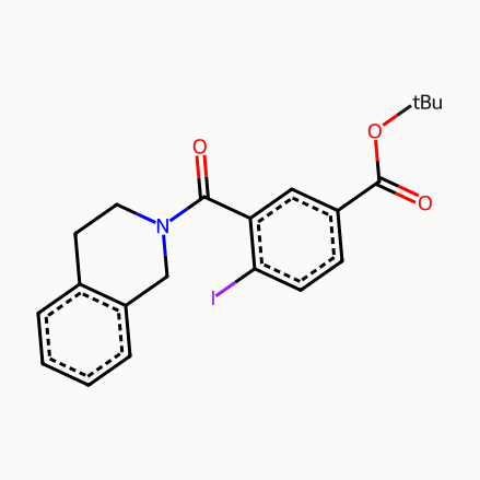 CC(C)(C)OC(=O)c1ccc(I)c(C(=O)N2CCc3ccccc3C2)c1